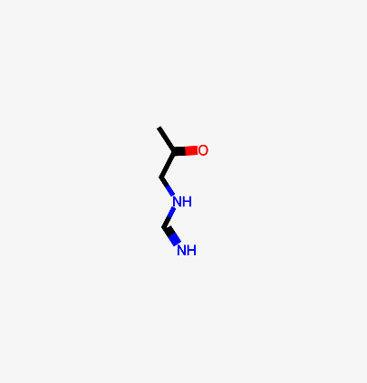 CC(=O)CNC=N